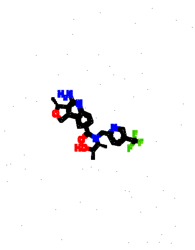 C[C@H]([C@@H](C)O)N(Cc1ccc(C(F)(F)F)cn1)C(=O)c1ccc2nc(N)c3c(c2c1)CO[C@@H]3C